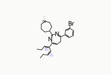 CC/C=C\C(=C/CC)C1=CCC(c2cccc(Br)c2)=NC(C2CCC[C@H](C)CC2)=N1